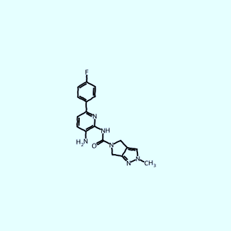 Cn1cc2c(n1)CN(C(=O)Nc1nc(-c3ccc(F)cc3)ccc1N)C2